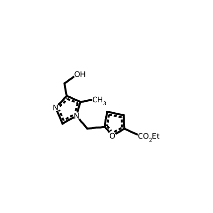 CCOC(=O)c1ccc(Cn2cnc(CO)c2C)o1